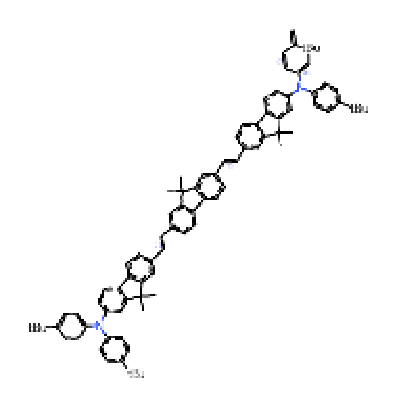 C=C(/C=C\C(=C/C)N(c1ccc(C(C)(C)C)cc1)c1ccc2c(c1)C(C)(C)c1cc(/C=C/c3ccc4c(c3)C(C)(C)c3cc(/C=C/c5ccc6c(c5)C(C)(C)c5cc(N(C7=CC=C(C(C)(C)C)CC7)c7ccc(C(C)(C)C)cc7)ccc5-6)ccc3-4)ccc1-2)C(C)(C)C